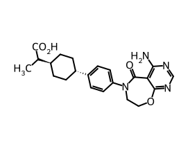 CC(C(=O)O)[C@H]1CC[C@H](c2ccc(N3CCOc4ncnc(N)c4C3=O)cc2)CC1